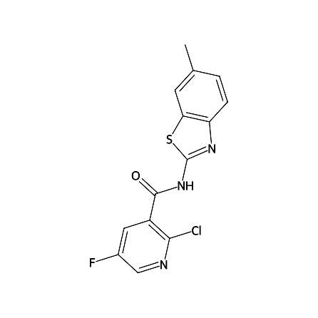 Cc1ccc2nc(NC(=O)c3cc(F)cnc3Cl)sc2c1